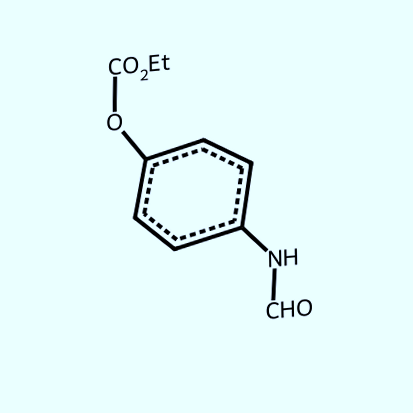 CCOC(=O)Oc1ccc(NC=O)cc1